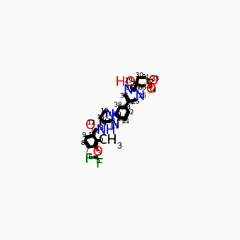 Cc1c(OC(F)F)cccc1C(=O)N[C@@H]1CCn2c1nc1ccc(-c3cnc(C4(O)CCS(=O)(=O)C4)nc3)cc12